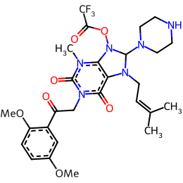 COc1ccc(OC)c(C(=O)Cn2c(=O)c3c(n(C)c2=O)N(OC(=O)C(F)(F)F)C(N2CCNCC2)N3CC=C(C)C)c1